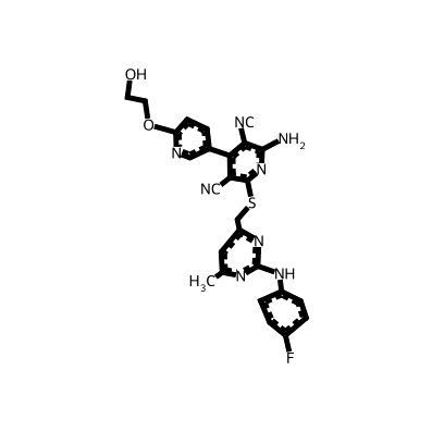 [C-]#[N+]c1c(N)nc(SCc2cc(C)nc(Nc3ccc(F)cc3)n2)c(C#N)c1-c1ccc(OCCO)nc1